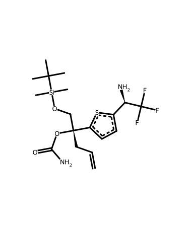 C=CC[C@](CO[Si](C)(C)C(C)(C)C)(OC(N)=O)c1ccc([C@@H](N)C(F)(F)F)s1